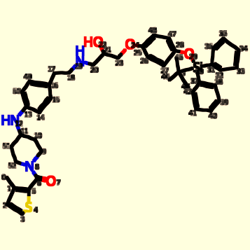 Cc1ccsc1C(=O)N1CCC(Nc2ccc(CCNCC(O)COc3ccc(O[Si](c4ccccc4)(c4ccccc4)C(C)(C)C)cc3)cc2)CC1